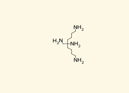 NCCCCC(N)(CN)CCCCN